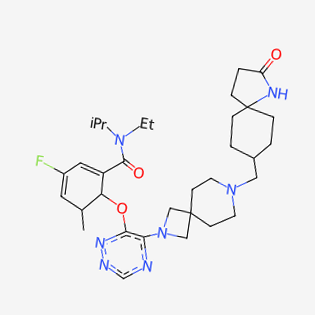 CCN(C(=O)C1=CC(F)=CC(C)C1Oc1nncnc1N1CC2(CCN(CC3CCC4(CCC(=O)N4)CC3)CC2)C1)C(C)C